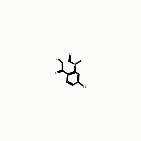 CN(C=O)c1cc(Cl)ccc1C(=O)CCl